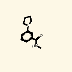 CNC(=O)c1cccc(N2CCCC2)c1